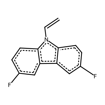 C=Cn1c2ccc(F)cc2c2cc(F)ccc21